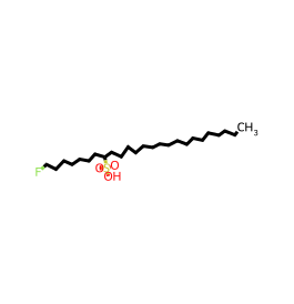 CCCCCCCCCCCCCCCCCC(CCCCCCCF)S(=O)(=O)O